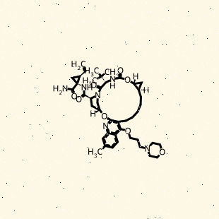 C=C[C@@H]1C[C@]1(NC(=O)[C@@H]1C[C@@H]2CN1C(=O)[C@H](C(C)(C)C)NC(=O)O[C@@H]1C[C@H]1CCCCCc1c(nc3cc(C)ccc3c1OCCCN1CCOCC1)O2)C(N)=O